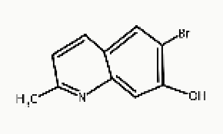 Cc1ccc2cc(Br)c(O)cc2n1